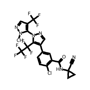 Cn1ncc(C(F)(F)F)c1-n1ncc(-c2ccc(Cl)c(C(=O)NC3(C#N)CC3)c2)c1C(F)(F)C(F)(F)F